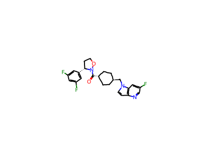 O=C([C@H]1CC[C@H](Cn2ccc3ncc(F)cc32)CC1)N1OCC[C@H]1c1cc(F)cc(F)c1